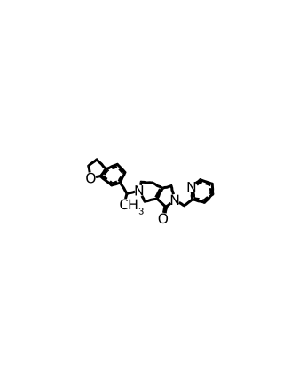 CC(c1ccc2c(c1)OCC2)N1CCC2=C(C1)C(=O)N(Cc1ccccn1)C2